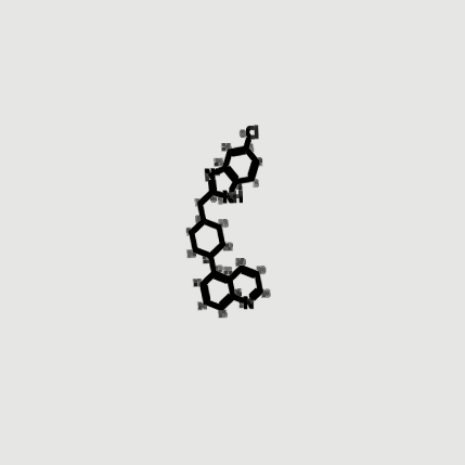 Clc1ccc2[nH]c(CC3CCC(c4cccc5ncccc45)CC3)nc2c1